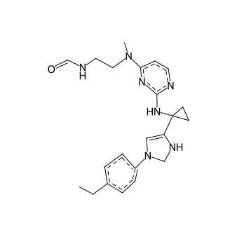 CCc1ccc(N2C=C(C3(Nc4nccc(N(C)CCNC=O)n4)CC3)NC2)cc1